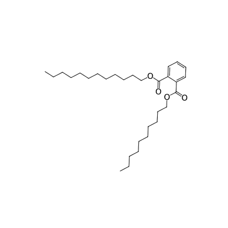 CCCCCCCCCCCCOC(=O)c1ccccc1C(=O)OCCCCCCCCCC